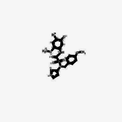 COc1ccc(CN(c2ccon2)S(=O)(=O)C(=O)Nc2cc(Cl)c(Br)cc2OC)cc1